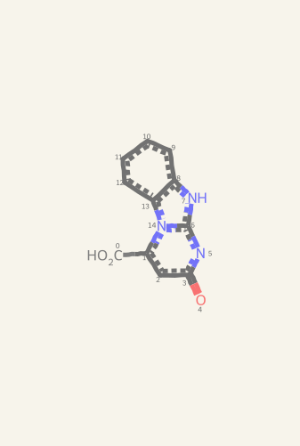 O=C(O)c1cc(=O)nc2[nH]c3ccccc3n12